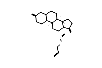 C=CCON=C[C@]12CC[C@H]3[C@@H](CCC4CC(=O)CC[C@@]43C)[C@@H]1CCC2=O